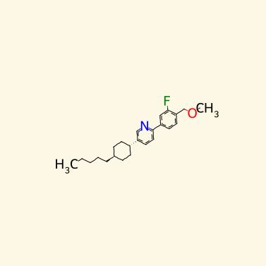 CCCCC[C@H]1CC[C@H](c2ccc(-c3ccc(COC)c(F)c3)nc2)CC1